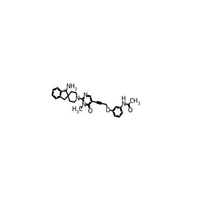 CC(=O)Nc1cccc(OCC#Cc2cnc(N3CCC4(CC3)Cc3ccccc3[C@H]4N)n(C)c2=O)c1